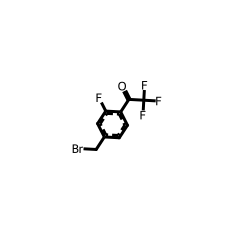 O=C(c1ccc(CBr)cc1F)C(F)(F)F